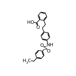 CCc1ccc(S(=O)(=O)Nc2ccc(CCc3ccccc3C(=O)O)cc2)cc1